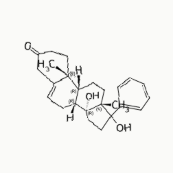 C[C@]12CCC(=O)CC1=CC[C@@H]1[C@H]2CC[C@]2(C)C(O)(c3ccccc3)CC[C@@]12O